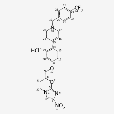 Cl.O=[N+]([O-])c1cn2c(n1)OC(COc1ccc(C3=CCN(Cc4ccc(C(F)(F)F)cc4)CC3)cc1)CC2